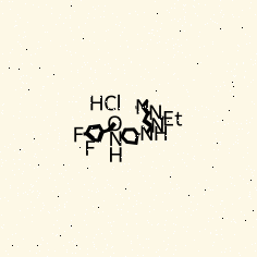 CCc1nc(N[C@H]2CC[C@@H](NC(=O)c3ccc(F)c(F)c3)CC2)cc(N(C)C)n1.Cl